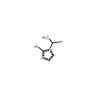 CCCc1nccn1C(CCC)C(=O)O